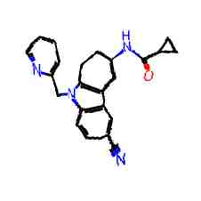 N#Cc1ccc2c(c1)c1c(n2Cc2ccccn2)CC[C@@H](NC(=O)C2CC2)C1